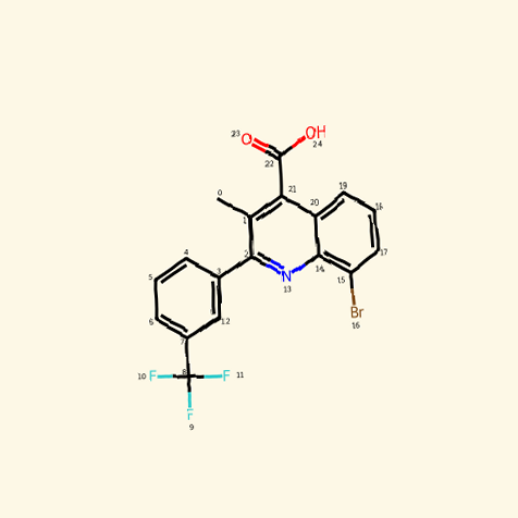 Cc1c(-c2cccc(C(F)(F)F)c2)nc2c(Br)cccc2c1C(=O)O